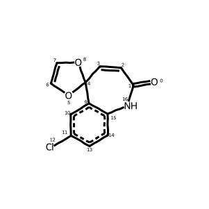 O=C1C=CC2(OC=CO2)c2cc(Cl)ccc2N1